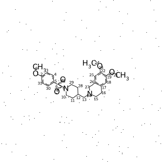 COc1ccc(S(=O)(=O)N2CCC(CN3CCc4cc(OC)c(OC)cc4C3)CC2)cc1